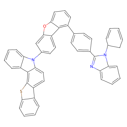 C1=CCC(n2c(-c3ccc(-c4cccc5oc6cc(-n7c8ccccc8c8c9sc%10ccccc%10c9ccc87)ccc6c45)cc3)nc3ccccc32)C=C1